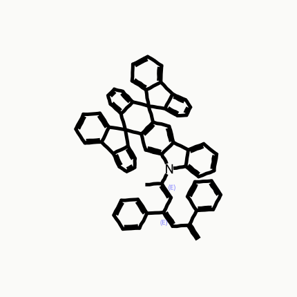 C=C(/C=C(\C=C(/C)n1c2ccccc2c2cc3c(cc21)C1(c2ccccc2-c2ccccc21)c1ccccc1C31c2ccccc2-c2ccccc21)c1ccccc1)c1ccccc1